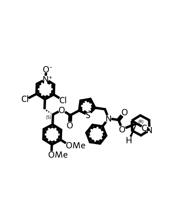 COc1ccc([C@H](Cc2c(Cl)c[n+]([O-])cc2Cl)OC(=O)c2ccc(CN(C(=O)O[C@H]3CN4CCC3CC4)c3ccccc3)s2)cc1OC